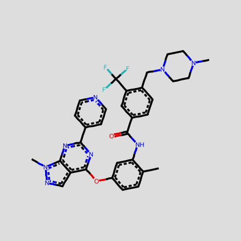 Cc1ccc(Oc2nc(-c3ccncc3)nc3c2cnn3C)cc1NC(=O)c1ccc(CN2CCN(C)CC2)c(C(F)(F)F)c1